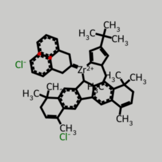 CCC1C=C(C(C)(C)C)C=[C]1[Zr+2](=[C](Cc1ccccc1)Cc1ccccc1)[CH]1c2cc3c(cc2-c2cc4c(cc21)C(C)(C)CC=C4C)C(C)=CCC3(C)C.[Cl-].[Cl-]